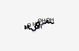 CCCC[C@](C)(O)C/C=C/[C@@H]1[C@H]2CC(/C=C\CCC(=O)N(C)C)=C[C@H]2C[C@H]1O